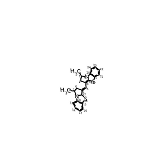 CC1CC(C=C2CC(C)N3c4ccccc4SC23)=C2Sc3ccccc3N21